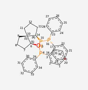 c1ccc(P(O[C@H]2CCC[C@]23CCC[C@H]3PP(c2ccccc2)c2ccccc2)c2ccccc2)cc1